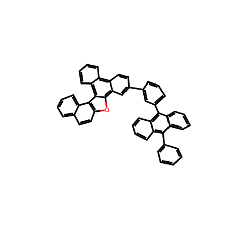 c1ccc(-c2c3ccccc3c(-c3cccc(-c4ccc5c6ccccc6c6c(oc7ccc8ccccc8c76)c5c4)c3)c3ccccc23)cc1